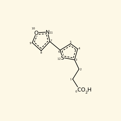 O=C(O)CCc1ccc(-c2ccon2)s1